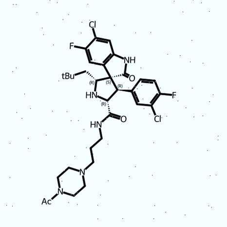 CC(=O)N1CCN(CCCNC(=O)[C@@H]2N[C@H](CC(C)(C)C)[C@]3(C(=O)Nc4cc(Cl)c(F)cc43)[C@H]2c2ccc(F)c(Cl)c2)CC1